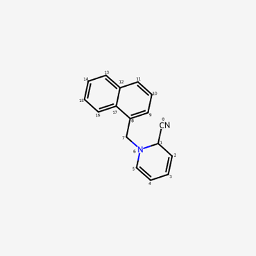 N#CC1C=CC=CN1Cc1cccc2ccccc12